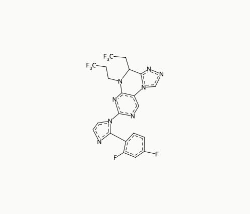 Fc1ccc(-c2nccn2-c2ncc3c(n2)N(CCC(F)(F)F)C(CC(F)(F)F)c2nncn2-3)c(F)c1